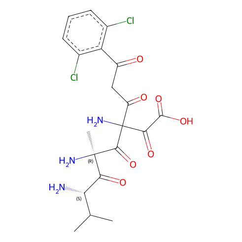 CC(C)[C@H](N)C(=O)[C@@](C)(N)C(=O)C(N)(C(=O)CC(=O)c1c(Cl)cccc1Cl)C(=O)C(=O)O